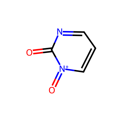 O=C1N=CC=C[N+]1=O